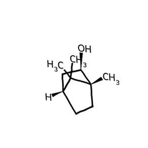 CC1(C)[C@@H]2CC[C@@]1(C)[C@H](O)C2